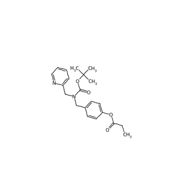 CCC(=O)Oc1ccc(CN(Cc2ccccn2)C(=O)OC(C)(C)C)cc1